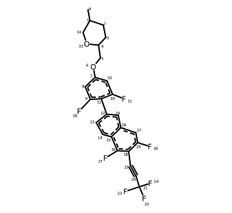 CC1CCC(COc2cc(F)c(-c3ccc4c(F)c(C#CC(F)(F)F)c(F)cc4c3)c(F)c2)OC1